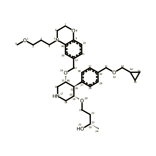 COCCCN1CCOc2ccc(CO[C@H]3CNC[C@@H](OCC[C@H](C)O)[C@@H]3c3ccc(COCC4CC4)cc3)cc21